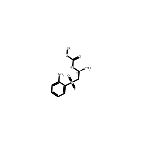 CC(C)(C)OC(=O)N[C@H](CS(=O)(=O)c1ccccc1[N+](=O)[O-])C(=O)O